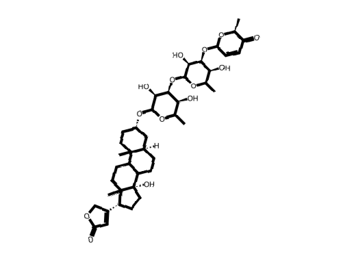 CC1OC(O[C@@H]2[C@H](O)C(O[C@H]3CCC4(C)C5CCC6(C)[C@@H](C7=CC(=O)OC7)CC[C@]6(O)C5CC[C@@H]4C3)OC(C)[C@@H]2O)[C@@H](O)[C@@H](OC2C=CC(=O)[C@H](C)O2)[C@H]1O